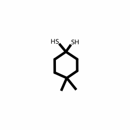 CC1(C)CCC(S)(S)CC1